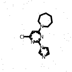 Clc1cc(N2CCCCCC2)nc(-n2ccnc2)n1